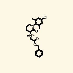 Cc1cc(Cl)cc(C)c1N1CCCC([N+](C)(C)CC(=O)OCc2ccccc2)C1=O